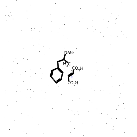 CNC(C)Cc1ccccc1.O=C(O)/C=C/C(=O)O